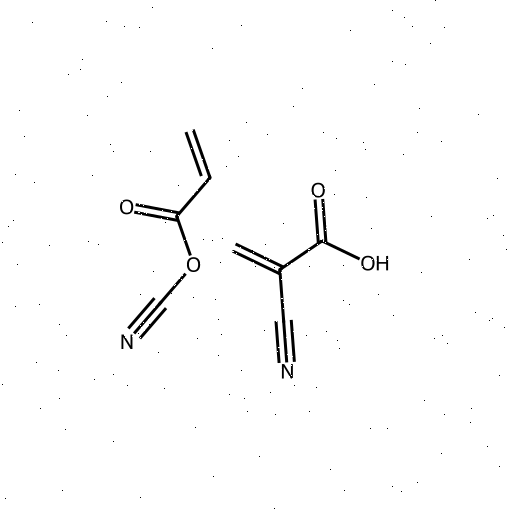 C=C(C#N)C(=O)O.C=CC(=O)OC#N